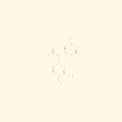 Cc1cc(C)cc(N(C(N)=O)c2ccc(Cl)c(C(F)(F)F)c2)c1